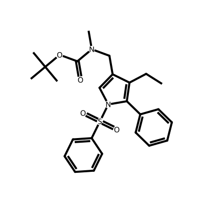 CCc1c(CN(C)C(=O)OC(C)(C)C)cn(S(=O)(=O)c2ccccc2)c1-c1ccccc1